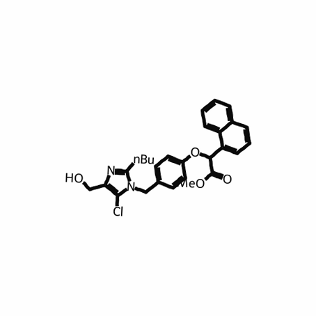 CCCCc1nc(CO)c(Cl)n1Cc1ccc(OC(C(=O)OC)c2cccc3ccccc23)cc1